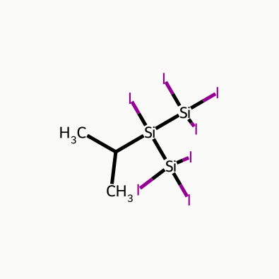 CC(C)[Si](I)([Si](I)(I)I)[Si](I)(I)I